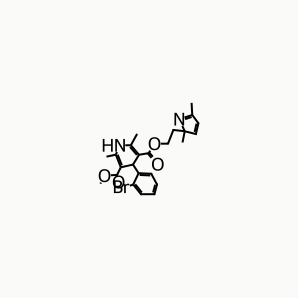 COC(=O)C1=C(C)NC(C)=C(C(=O)OCCC2(C)C=CC(C)=N2)C1c1ccccc1Br